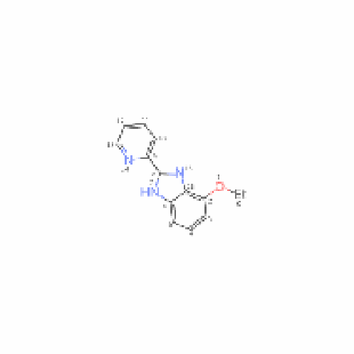 CCOc1cccc2[nH]c(-c3ccccn3)nc12